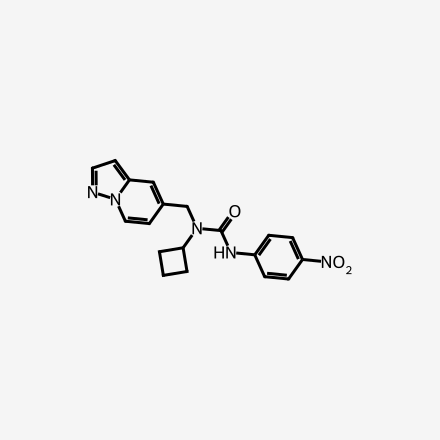 O=C(Nc1ccc([N+](=O)[O-])cc1)N(Cc1ccn2nccc2c1)C1CCC1